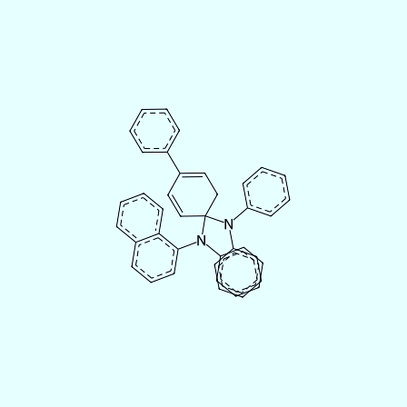 C1=CC(N(c2ccccc2)c2ccccc2)(N(c2ccccc2)c2cccc3ccccc23)CC=C1c1ccccc1